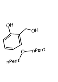 CCCCCOCCCCC.OCc1ccccc1O